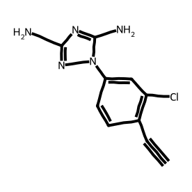 C#Cc1ccc(-n2nc(N)nc2N)cc1Cl